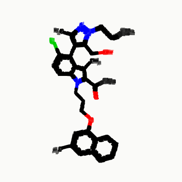 COCCn1nc(C)c(-c2c(Cl)ccc3c2c(C)c(C(=O)OC)n3CCCOc2cc(C)cc3ccccc23)c1CO